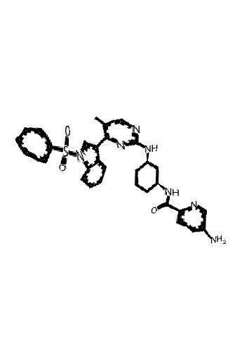 Cc1cnc(N[C@@H]2CCC[C@H](NC(=O)c3ccc(N)cn3)C2)nc1-c1cn(S(=O)(=O)c2ccccc2)c2ccccc12